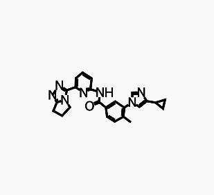 Cc1ccc(C(=O)Nc2cccc(-c3nnc4n3CCC4)n2)cc1-n1cnc(C2CC2)c1